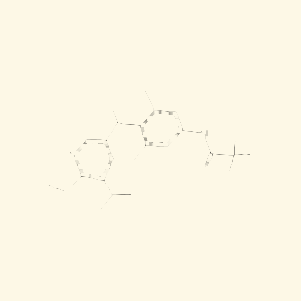 COc1ncc(C(O)c2c(C)cc(NC(=O)C(F)(F)F)cc2C)cc1C(C)C